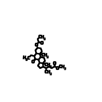 CCC(=O)O[C@@H]1CC[C@@]2(C)C(C1)C(CC)C(=O)C1C2CC[C@@]2(C)C1CCC2[C@H](C)CCC(=O)OC